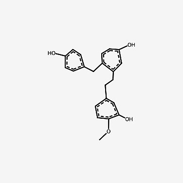 COc1ccc(CCc2cc(O)ccc2Cc2ccc(O)cc2)cc1O